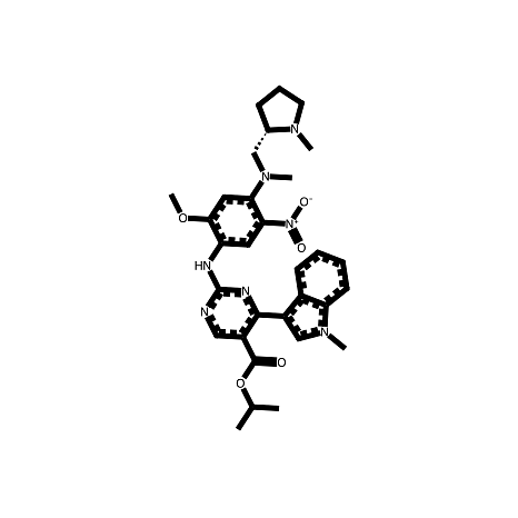 COc1cc(N(C)C[C@@H]2CCCN2C)c([N+](=O)[O-])cc1Nc1ncc(C(=O)OC(C)C)c(-c2cn(C)c3ccccc23)n1